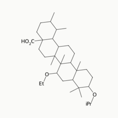 CCOC1CC2C(C)(C)C(OC(C)C)CCC2(C)C2CCC3C4C(C)C(C)CCC4(C(=O)O)CCC3(C)C12C